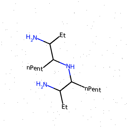 CCCCCC(NC(CCCCC)C(N)CC)C(N)CC